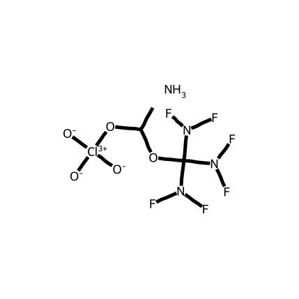 CC(OC(N(F)F)(N(F)F)N(F)F)O[Cl+3]([O-])([O-])[O-].N